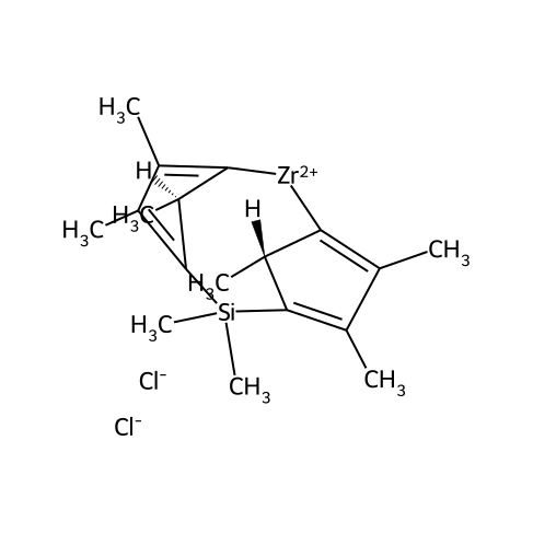 CC1=[C]2[Zr+2][C]3=C(C)C(C)=C([C@H]3C)[Si](C)(C)C(=C1C)[C@@H]2C.[Cl-].[Cl-]